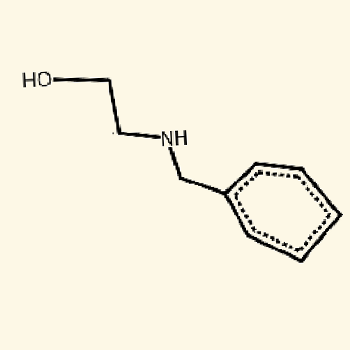 OC[CH]NCc1ccccc1